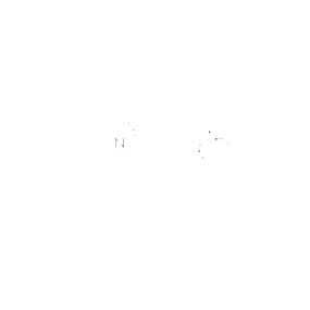 O=C(CCCCC(=O)N1CCC2CCCCC2C1)N=S